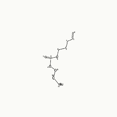 C=CCCCOC(=O)OOOC(C)(C)C